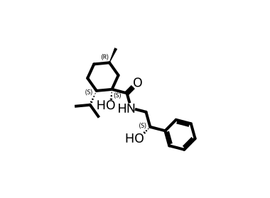 CC(C)[C@@H]1CC[C@@H](C)C[C@@]1(O)C(=O)NC[C@@H](O)c1ccccc1